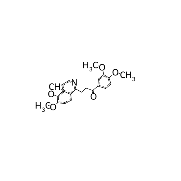 COc1ccc(C(=O)CCc2nccc3c(OC)c(OC)ccc23)cc1OC